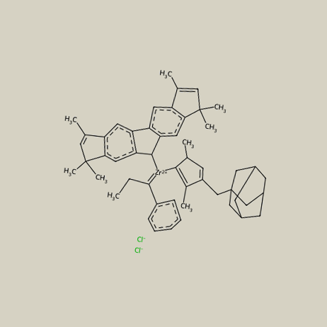 CC/[C](c1ccccc1)=[Zr+2](/[C]1=C(C)C(CC23CC4CC(CC(C4)C2)C3)=CC1C)[CH]1c2cc3c(cc2-c2cc4c(cc21)C(C)(C)C=C4C)C(C)=CC3(C)C.[Cl-].[Cl-]